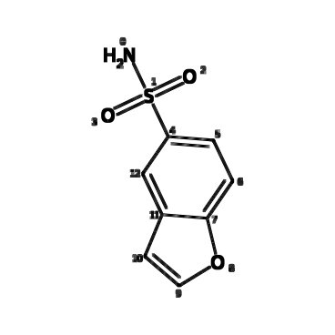 NS(=O)(=O)c1ccc2occc2c1